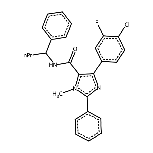 CCCC(NC(=O)c1c(-c2ccc(Cl)c(F)c2)nc(-c2ccccc2)n1C)c1ccccc1